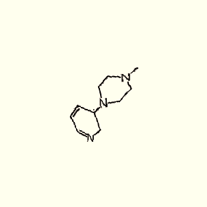 CN1CCN([C]2C=CC=NC2)CC1